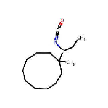 CCB(N=C=O)C1(C)CCCCCCCCC1